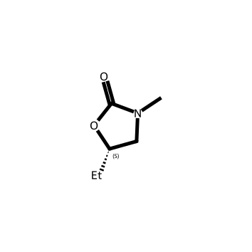 CC[C@H]1CN(C)C(=O)O1